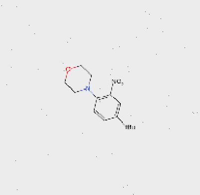 CC(C)(C)c1ccc(N2CCOCC2)c([N+](=O)[O-])c1